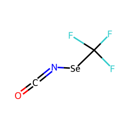 O=C=N[Se]C(F)(F)F